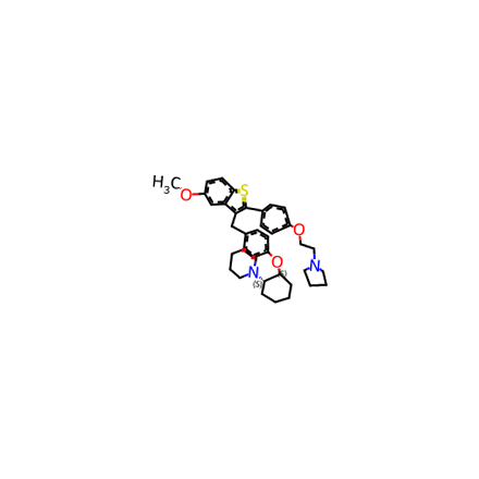 COc1ccc2sc(-c3ccc(OCCN4CCCC4)cc3)c(Cc3ccc(O[C@H]4CCCC[C@@H]4N4CCCCC4)cc3)c2c1